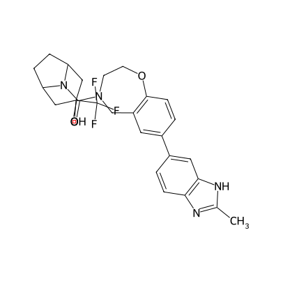 Cc1nc2ccc(-c3ccc4c(c3)CN(C(=O)N3C5CCC3CC(O)(C(F)(F)F)C5)CCO4)cc2[nH]1